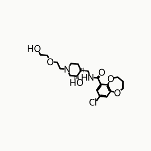 O=C(NC[C@@H]1CCN(CCOCCO)C[C@H]1O)c1cc(Cl)cc2c1OCCCO2